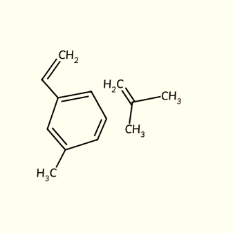 C=C(C)C.C=Cc1cccc(C)c1